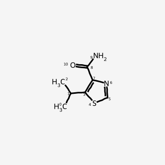 CC(C)c1scnc1C(N)=O